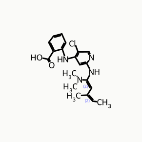 C/C=C(C)\C=C(\Nc1cc(Nc2ccccc2C(=O)O)c(Cl)cn1)N(C)C